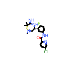 CN1C[C@@H](c2cc(NC(=O)c3ccc(Cl)cn3)ccc2F)NC(=N)C(C)(C)S1